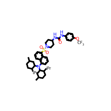 CC1CCC(C(C)C)C(N(c2cccc3c(S(=O)(=O)N4CCC(NC(=O)Nc5ccc(OC(F)(F)F)cc5)CC4)cccc23)C2CC(C)CCC2C(C)C)C1